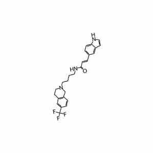 O=C(/C=C/c1ccc2[nH]ccc2c1)NCCCCN1CCc2cc(C(F)(F)F)ccc2C1